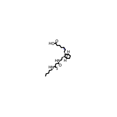 CCCCCNC(=S)CC(=O)NCC[C@H]1[C@@H](C/C=C\CCCC(=O)O)[C@H]2CC[C@@H]1O2